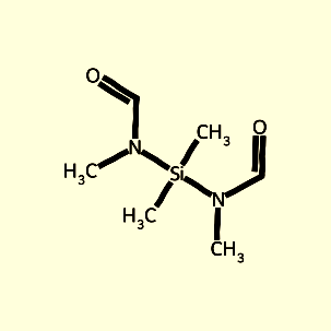 CN(C=O)[Si](C)(C)N(C)C=O